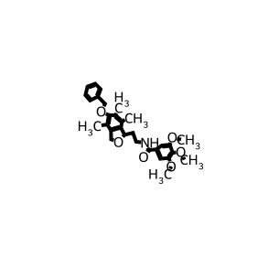 COc1cc(C(=O)NCCC2OCc3c(C)c(OCc4ccccc4)c(C)c(C)c32)cc(OC)c1OC